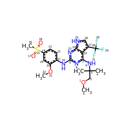 COCC(C)(C)Nc1nc(Nc2ccc(S(C)(=O)=O)cc2OC)nc2[nH]cc(C(F)(F)F)c12